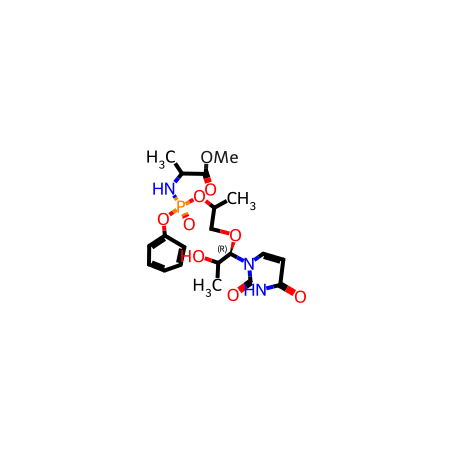 COC(=O)C(C)NP(=O)(Oc1ccccc1)OC(C)CO[C@H](C(C)O)n1ccc(=O)[nH]c1=O